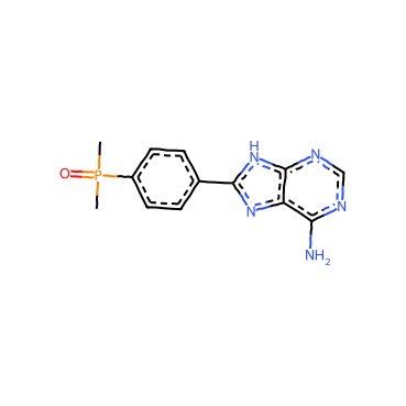 CP(C)(=O)c1ccc(-c2nc3c(N)ncnc3[nH]2)cc1